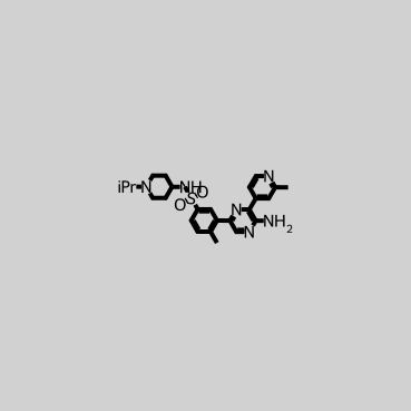 Cc1cc(-c2nc(-c3cc(S(=O)(=O)NC4CCN(C(C)C)CC4)ccc3C)cnc2N)ccn1